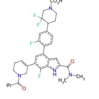 CC(C)C(=O)N1CCC=C(c2cc(-c3ccc(C4CCN(C(=O)O)CC4(F)F)cc3F)c3cc(C(=O)N(C)C)[nH]c3c2F)C1